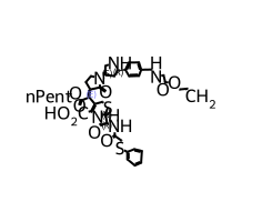 C=CCOC(=O)CNCc1ccc([C@H]2C[C@H](N3CC/C(=C(\C(=O)OCCCCC)C4=C(C(=O)O)N5C(=O)[C@@H](NC(=O)CSc6ccccc6)[C@H]5SC4)C3=O)CN2)cc1